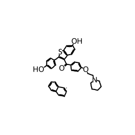 O=C(c1ccc(OCCN2CCCCC2)cc1)c1c(-c2ccc(O)cc2)sc2cc(O)ccc12.[c]1cccc2ccccc12